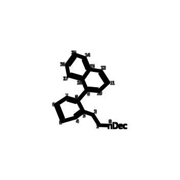 CCCCCCCCCCCCc1ccccc1-c1cccc2ccccc12